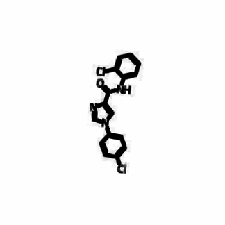 O=C(Nc1ccccc1Cl)c1cn(-c2ccc(Cl)cc2)cn1